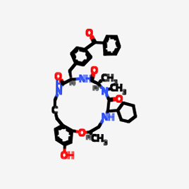 C[C@@H]1CNC(C2CCCCC2)C(=O)N(C)[C@H](C)C(=O)N[C@H](Cc2ccc(C(=O)c3ccccc3)cc2)C(=O)NCCCc2ccc(O)cc2O1